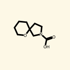 O=C(O)N1CCC2(CCCCO2)C1